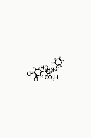 O=C(O)[C@H](CNCc1ccccc1)[C@H](O)c1ccc(Cl)c(Cl)c1